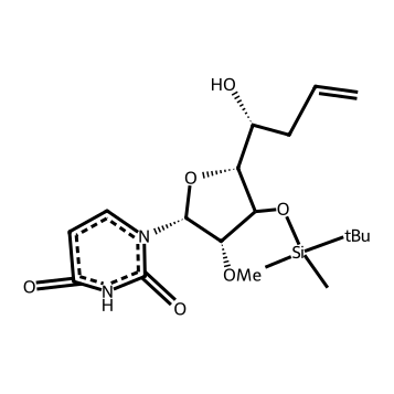 C=CC[C@@H](O)[C@H]1O[C@@H](n2ccc(=O)[nH]c2=O)[C@@H](OC)C1O[Si](C)(C)C(C)(C)C